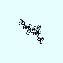 COc1ccc(CCNC(=O)C(OC(=O)C(=O)OC(C(=O)NCCc2ccc(OC)c(OC)c2)N2CCOCC2)N2CCOCC2)cc1OC